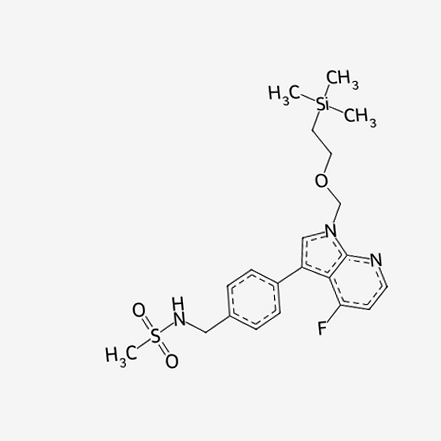 C[Si](C)(C)CCOCn1cc(-c2ccc(CNS(C)(=O)=O)cc2)c2c(F)ccnc21